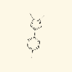 Cc1cc(-c2ccc(F)cc2)cn1C